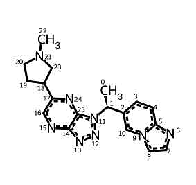 C[C@@H](c1ccc2nccn2c1)n1nnc2ncc(C3CCN(C)C3)nc21